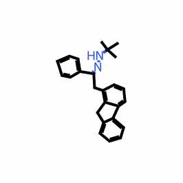 CC(C)(C)NN=C(Cc1cccc2c1Cc1ccccc1-2)c1ccccc1